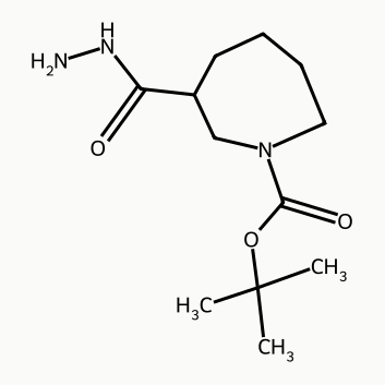 CC(C)(C)OC(=O)N1CCCCC(C(=O)NN)C1